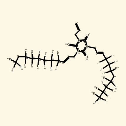 C=CCn1c(=O)n(C/C=C/C(F)(F)C(F)(F)C(F)(F)CC(F)(F)C(F)(F)C(F)(F)C(F)(F)F)c(=O)n(C/C=C/C(F)(F)C(F)(F)C(F)(F)C(F)(F)C(F)(F)C(F)(F)CC(F)(F)F)c1=O